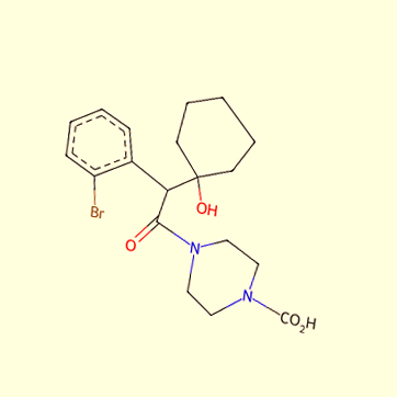 O=C(O)N1CCN(C(=O)C(c2ccccc2Br)C2(O)CCCCC2)CC1